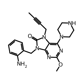 CC#CCn1c(=O)n(Cc2ccccc2N)c2nc(OC)nc(N3CCNCC3)c21